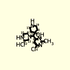 Cc1nc(Cl)cc(C(N2CCNCC2)C2(O)CCNCC2)n1.Cl